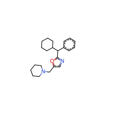 c1ccc(C(c2ncc(CN3CCCCC3)o2)C2CCCCC2)cc1